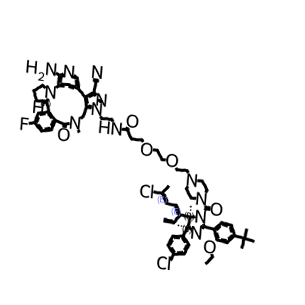 C=C/C(=C\C=C(/C)Cl)[C@@]1(C)N(C(=O)N2CCN(CCOCCOCCC(=O)NCCn3nc(C#N)c4c3CN(C)C(=O)c3ccc(F)cc3[C@H]3CCCN3c3cc-4cnc3N)CC2)C(c2ccc(C(C)(C)C)cc2OCC)=N[C@@]1(C)c1ccc(Cl)cc1